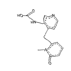 Cn1c(Cc2ccncc2NC(=O)O)cccc1=O